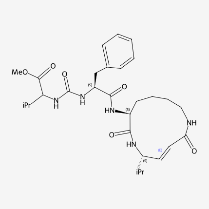 COC(=O)C(NC(=O)N[C@@H](Cc1ccccc1)C(=O)N[C@H]1CCCCNC(=O)/C=C/[C@H](C(C)C)NC1=O)C(C)C